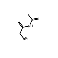 C=C(C)NC(=C)CCCC